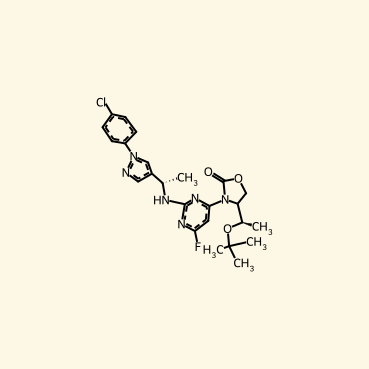 C[C@H](Nc1nc(F)cc(N2C(=O)OCC2[C@@H](C)OC(C)(C)C)n1)c1cnn(-c2ccc(Cl)cc2)c1